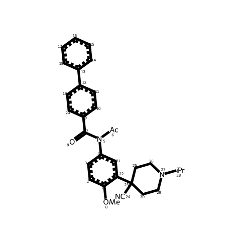 COc1ccc(N(C(C)=O)C(=O)c2ccc(-c3ccccc3)cc2)cc1C1(C#N)CCN(C(C)C)CC1